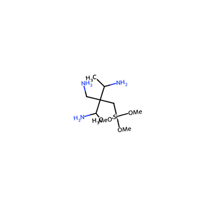 CO[Si](CC(CN)(C(C)N)C(C)N)(OC)OC